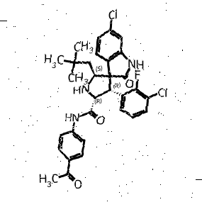 CC(=O)c1ccc(NC(=O)[C@@H]2N[C@@H](CC(C)(C)C)C3(C(=O)Nc4cc(Cl)ccc43)[C@@H]2c2cccc(Cl)c2F)cc1